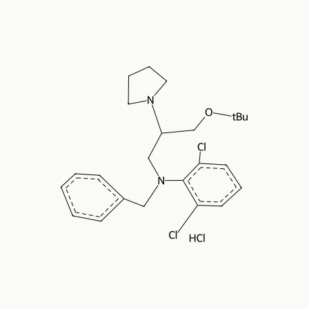 CC(C)(C)OCC(CN(Cc1ccccc1)c1c(Cl)cccc1Cl)N1CCCC1.Cl